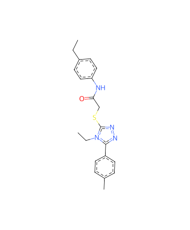 CCc1ccc(NC(=O)CSc2nnc(-c3ccc(C)cc3)n2CC)cc1